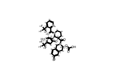 CCC[C@H]1N(C(=O)c2ncccc2C(F)(F)F)CCC[C@@]1(Oc1csc(C(F)(F)F)c1)C(=O)N1Cc2ccc(Br)cc2C[C@H]1OC(=O)O